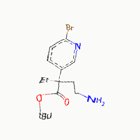 CCC(CCN)(C(=O)OC(C)(C)C)c1ccc(Br)nc1